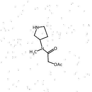 CC(=O)OCC(=O)N(C)C1CCNC1